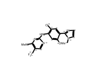 CNc1nc(Nc2cc(OC)c(-c3nccn3C)cc2Cl)ncc1C(F)(F)F